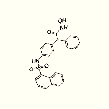 O=C(NO)C(c1ccccc1)c1ccc(NS(=O)(=O)c2cccc3ccccc23)cc1